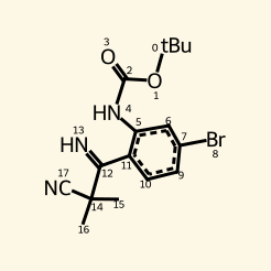 CC(C)(C)OC(=O)Nc1cc(Br)ccc1C(=N)C(C)(C)C#N